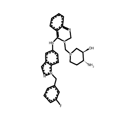 N[C@@H]1CCN(CN2CN=c3ccccc3=C2Nc2ccc3c(cnn3Cc3cccc(F)c3)c2)C[C@H]1O